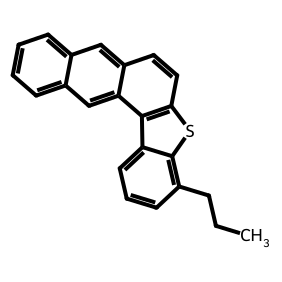 CCCc1cccc2c1sc1ccc3cc4ccccc4cc3c12